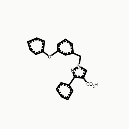 O=C(O)c1cn(Cc2cccc(Oc3ccccc3)c2)nc1-c1ccccc1